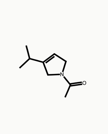 CC(=O)N1CC=C(C(C)C)C1